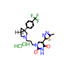 Cc1nnc(-c2cn(CCCN3C[C@@H]4C[C@]4(c4ccc(C(F)(F)F)cc4)C3)c(=O)[nH]c2=O)s1.Cl.Cl